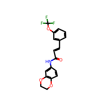 O=C(/C=C/c1cccc(OC(F)(F)F)c1)Nc1ccc2c(c1)OCCO2